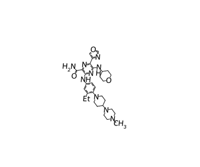 CCc1cc(Nc2nc(NC3CCOCC3)c(-c3cocn3)nc2C(N)=O)ccc1N1CCC(N2CCN(C)CC2)CC1